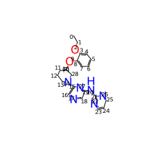 CCOc1ccccc1O[C@@H]1CCCN(c2cncc(Nc3n[c]ccn3)n2)C1